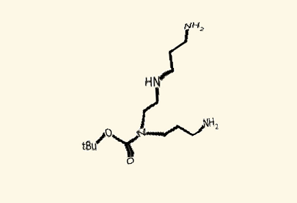 CC(C)(C)OC(=O)N(CCCN)CCNCCCN